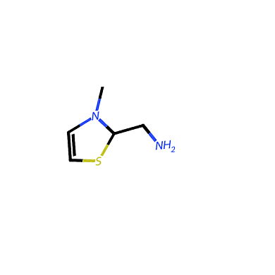 CN1C=CSC1CN